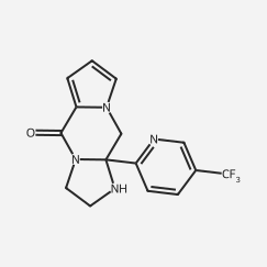 O=C1c2cccn2CC2(c3ccc(C(F)(F)F)cn3)NCCN12